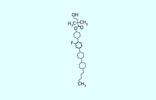 CCCCCC1CCC(C2CCC(c3ccc(C4CCC(OC(=O)C(C)(C)CCO)CC4)c(F)c3)CC2)CC1